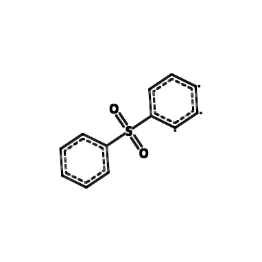 O=S(=O)(c1[c][c][c]cc1)c1ccccc1